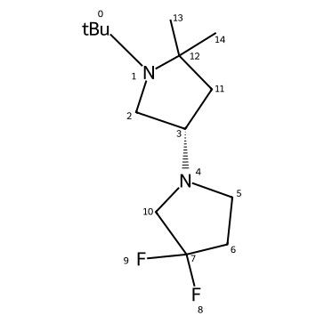 CC(C)(C)N1C[C@@H](N2CCC(F)(F)C2)CC1(C)C